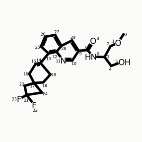 COCC(CO)NC(=O)c1cnc2c(C3=CCC4(CC3)CC(F)(F)C4)cccc2c1